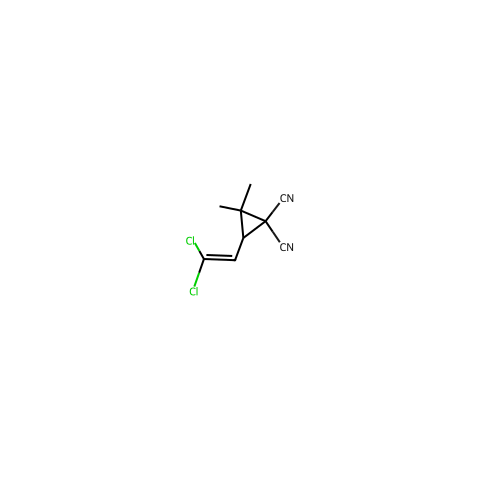 CC1(C)C(C=C(Cl)Cl)C1(C#N)C#N